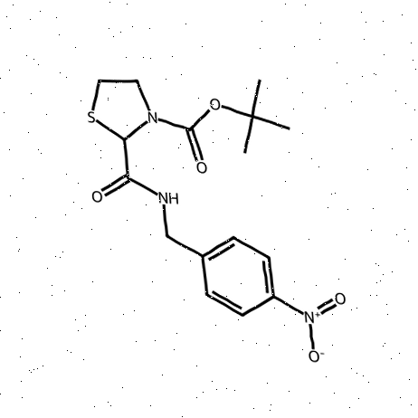 CC(C)(C)OC(=O)N1CCSC1C(=O)NCc1ccc([N+](=O)[O-])cc1